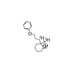 [2H]C([2H])([2H])C1(CCCOc2ccccc2)CCCC[Se]1